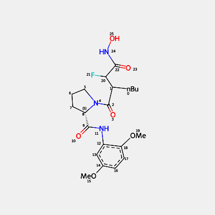 CCCCC(C(=O)N1CCC[C@H]1C(=O)Nc1cc(OC)ccc1OC)C(F)C(=O)NO